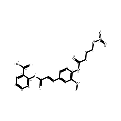 COc1cc(/C=C/C(=O)Oc2ccccc2C(=O)O)ccc1OC(=O)CCCO[N+](=O)[O-]